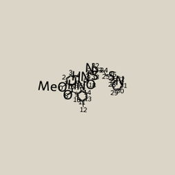 COc1ccccc1C(=O)c1cc(C)ccc1NC(=O)Nc1ncc(CCSc2ccccn2)s1